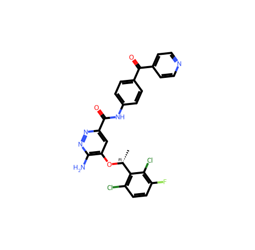 C[C@@H](Oc1cc(C(=O)Nc2ccc(C(=O)c3ccncc3)cc2)nnc1N)c1c(Cl)ccc(F)c1Cl